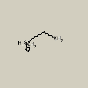 CCCCCCC/C=C\CCCCCCCC[N+](C)(C)Cc1ccccc1